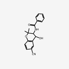 CC1(C)Oc2ccc(C#N)cc2C(O)C1NC(=O)c1ccccc1